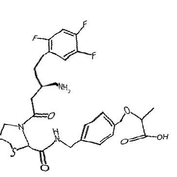 CC(Oc1ccc(CNC(=O)C2SCCN2C(=O)C[C@H](N)Cc2cc(F)c(F)cc2F)cc1)C(=O)O